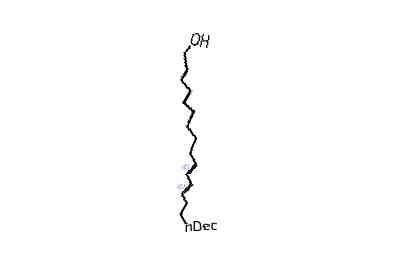 CCCCCCCCCCCC/C=C/C=C/CCCCCCCCCO